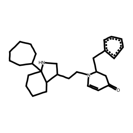 O=C1C=CN(CCC2CNC3(C4CCCCCC4)CCCCC23)C(Cc2ccccc2)C1